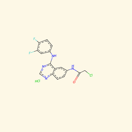 Cl.O=C(CCl)Nc1ccc2ncnc(Nc3ccc(F)c(F)c3)c2c1